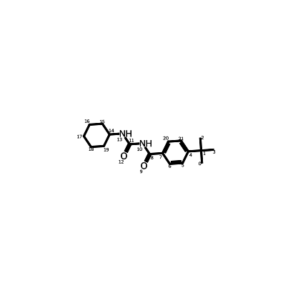 CC(C)(C)c1ccc(C(=O)NC(=O)NC2CCCCC2)cc1